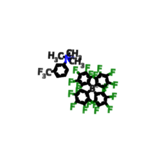 C[N+](C)(C)c1cccc(C(F)(F)F)c1.Fc1c(F)c(F)c([B-](c2c(F)c(F)c(F)c(F)c2F)(c2c(F)c(F)c(F)c(F)c2F)c2c(F)c(F)c(F)c(F)c2F)c(F)c1F